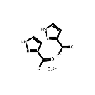 O=C([O-])c1cc[nH]n1.O=C([O-])c1cc[nH]n1.[Eu+2]